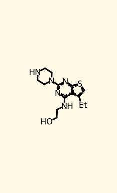 CCc1csc2nc(N3CCNCC3)nc(NCCO)c12